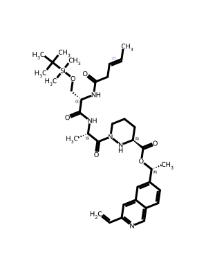 C=Cc1cc2cc([C@@H](C)OC(=O)[C@@H]3CCCN(C(=O)[C@H](C)NC(=O)[C@H](CO[Si](C)(C)C(C)(C)C)NC(=O)C/C=C/C)N3)ccc2cn1